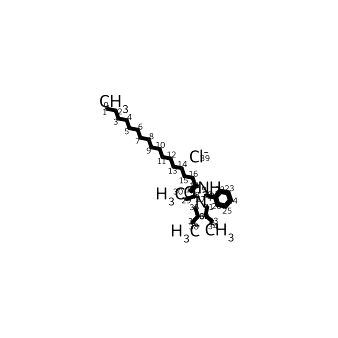 CCCCCCCCCCCCCCCCCC(=O)NC(c1ccccc1)[N+](CCC)(CCCC)CCCC.[Cl-]